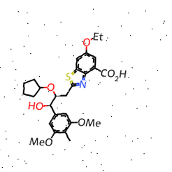 CCOc1cc(C(=O)O)c2nc(C[C@H](OC3CCCC3)[C@H](O)c3cc(OC)c(C)c(OC)c3)sc2c1